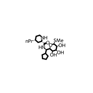 CCC[C@@H]1CCN[C@H](C(=O)N[C@H](C2CCCC2)[C@H]2O[C@H](SC)[C@H](O)[C@@H](O)[C@H]2O)C1